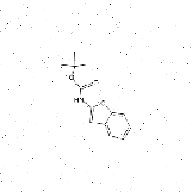 CC(C)(C)OC(=O)Nc1cc2ccccc2o1